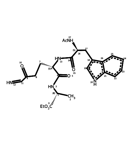 CCOC(=O)[C@@H](C)NC(=O)[C@H](CCC(=O)C=N)NC(=O)[C@H](Cc1c[nH]c2ccccc12)NC(C)=O